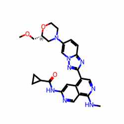 CNc1ncc(-c2nc3ccc(N4CCO[C@@H](COC)C4)cn3n2)c2cc(NC(=O)C3CC3)ncc12